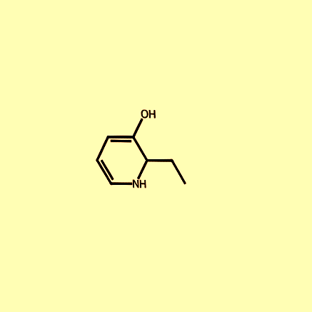 CCC1NC=CC=C1O